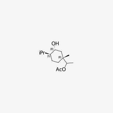 CC(=O)OC(C)[C@]1(C)CC[C@@H](C(C)C)[C@H](O)C1